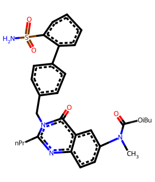 CCCc1nc2ccc(N(C)C(=O)OCC(C)C)cc2c(=O)n1Cc1ccc(-c2ccccc2S(N)(=O)=O)cc1